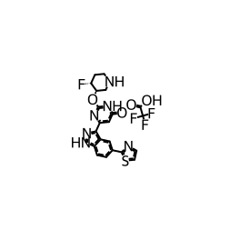 O=C(O)C(F)(F)F.O=c1cc(-c2n[nH]c3ccc(-c4nccs4)cc23)nc(O[C@@H]2CNCC[C@H]2F)[nH]1